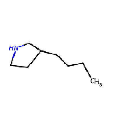 CCCCC1[CH]NCC1